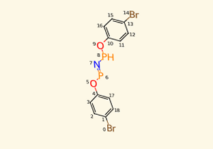 Brc1ccc(OP=NPOc2ccc(Br)cc2)cc1